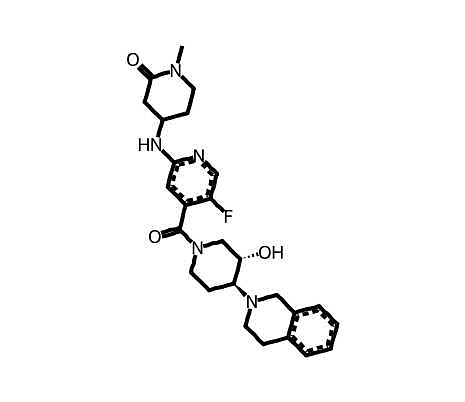 CN1CCC(Nc2cc(C(=O)N3CC[C@H](N4CCc5ccccc5C4)[C@@H](O)C3)c(F)cn2)CC1=O